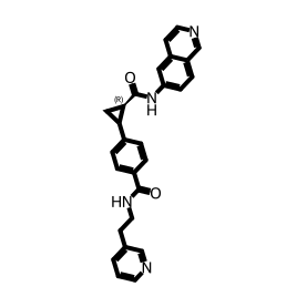 O=C(NCCc1cccnc1)c1ccc(C2C[C@H]2C(=O)Nc2ccc3cnccc3c2)cc1